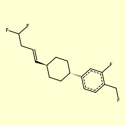 FCc1ccc([C@H]2CC[C@H](C=CCC(F)F)CC2)cc1F